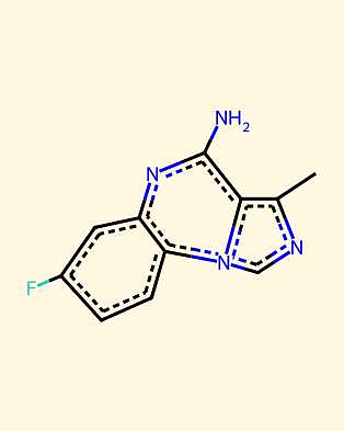 Cc1ncn2c1c(N)nc1cc(F)ccc12